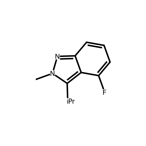 CC(C)c1c2c(F)cccc2nn1C